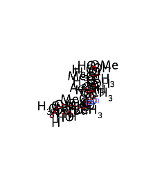 COC(=O)CC1=C2/C(=C/CSSC(C)(C)CCC(=O)CCCNC(=O)OCc3ccc(NC(=O)[C@H](C)CC(=O)[C@H](Cc4ccccc4)NC(=O)CCCCCN4C(=O)CC(C(C)(C)C)C4=O)cc3)[C@](O)(C#C/C=C\C#C[C@@H]2OC2OC(C)C(NOC3CC(O)C(SC(=O)c4c(C)c(I)c(OC5OC(C)C(O)C(OC)C5O)c(C)c4OC)C(C)O3)C(O)C2OC2CC(C)C(CC(C)=O)CO2)CC1=O